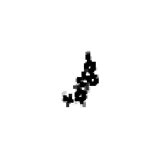 CC(NC(=O)Nc1cc(OC(F)(F)C(F)F)c(Cl)cc1Cl)c1nccnc1-c1ccc(C#N)cn1